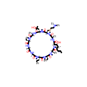 C/C=C/C[C@@H](C)[C@@H](O)[C@H]1C(=O)N[C@H](CC)C(=O)N(C)[C@H](CSCCN(CC)C(C)C)C(=O)N(C)[C@@H](CC(C)(C)O)C(=O)N[C@H](C(C)C)C(=O)N(C)[C@H](CC(C)C)C(=O)N[C@H](C)C(=O)N[C@@H](C)C(=O)N(C)[C@@H](CCC(C)C)C(=O)N(C)[C@H](CC(C)C)C(=O)N(C)[C@H](C(C)C)C(=O)N1C